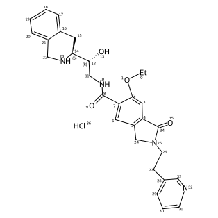 CCOc1cc2c(cc1C(=O)NC[C@@H](O)[C@@H]1Cc3ccccc3CN1)CN(CCc1cccnc1)C2=O.Cl